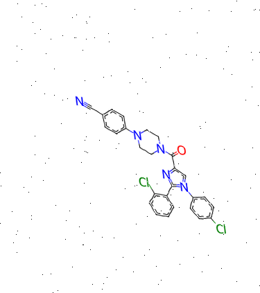 N#Cc1ccc(N2CCN(C(=O)c3cn(-c4ccc(Cl)cc4)c(-c4ccccc4Cl)n3)CC2)cc1